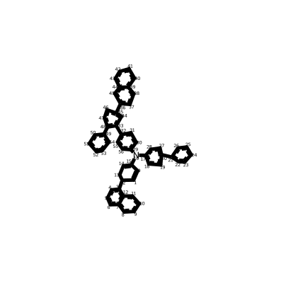 C1=CC(c2cccc3ccccc23)CC=C1N(c1ccc(-c2ccccc2)cc1)c1ccc(-c2cc(-c3ccc4ccccc4c3)ccc2-c2ccccc2)cc1